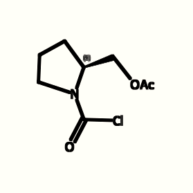 CC(=O)OC[C@@H]1CCCN1C(=O)Cl